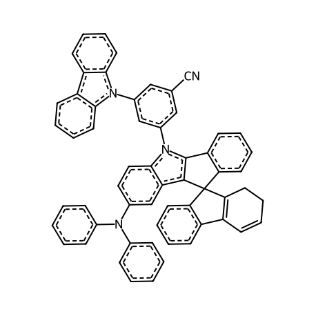 N#Cc1cc(-n2c3c(c4cc(N(c5ccccc5)c5ccccc5)ccc42)C2(C4=C(C=CCC4)c4ccccc42)c2ccccc2-3)cc(-n2c3ccccc3c3ccccc32)c1